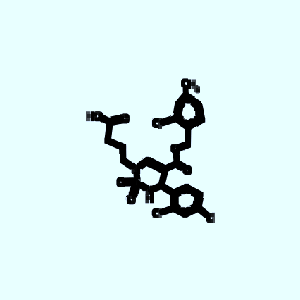 Cc1ccc(COC(=O)C2=CN(CCCC(=O)O)S(=O)(=O)NC2c2ccc(Cl)cc2Cl)c(Cl)c1